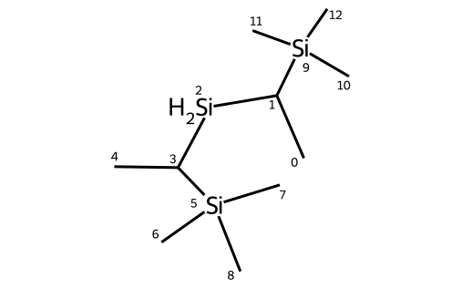 CC([SiH2]C(C)[Si](C)(C)C)[Si](C)(C)C